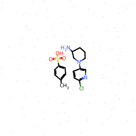 Cc1ccc(S(=O)(=O)O)cc1.NC1CCCN(c2ccc(Cl)nc2)C1